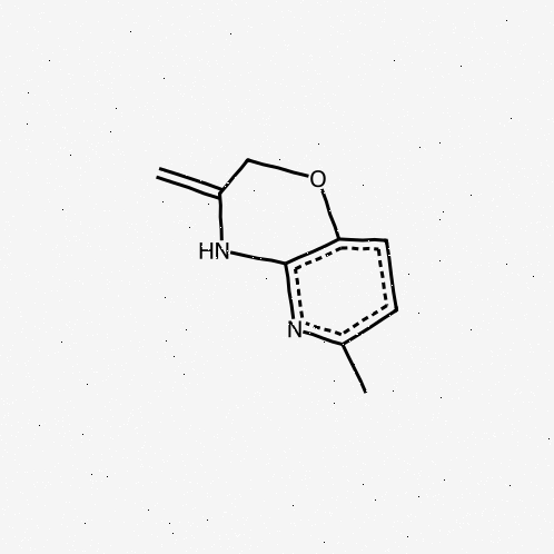 C=C1COc2ccc(C)nc2N1